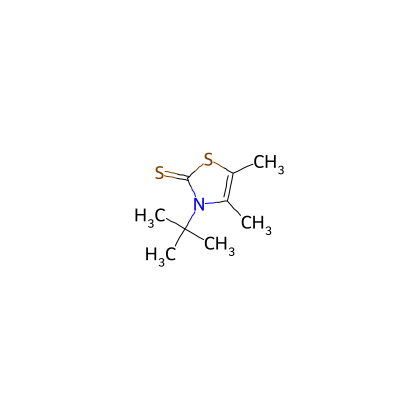 Cc1sc(=S)n(C(C)(C)C)c1C